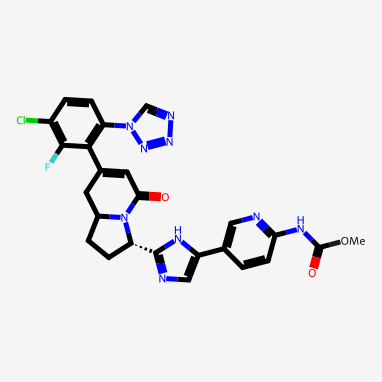 COC(=O)Nc1ccc(-c2cnc([C@@H]3CCC4CC(c5c(-n6cnnn6)ccc(Cl)c5F)=CC(=O)N43)[nH]2)cn1